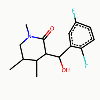 CC1CN(C)C(=O)C(C(O)c2cc(F)ccc2F)C1C